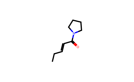 CCC=CC(=O)N1CCCC1